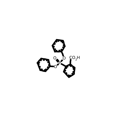 O=C(O)c1ccccc1P(=O)(Oc1ccccc1)Oc1ccccc1